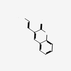 Cl.O=C(O)C=Cc1cc2ccccc2oc1=O